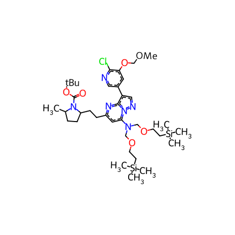 COCOc1cc(-c2cnn3c(N(COCC[Si](C)(C)C)COCC[Si](C)(C)C)cc(CCC4CCC(C)N4C(=O)OC(C)(C)C)nc23)cnc1Cl